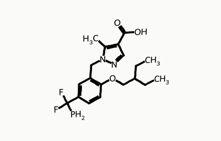 CCC(CC)COc1ccc(C(F)(F)P)cc1Cn1ncc(C(=O)O)c1C